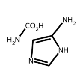 NC(=O)O.Nc1cnc[nH]1